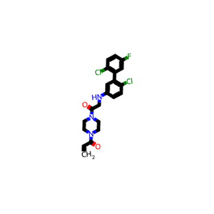 C=CC(=O)N1CCN(C(=O)CNc2ccc(Cl)c(-c3cc(F)ccc3Cl)c2)CC1